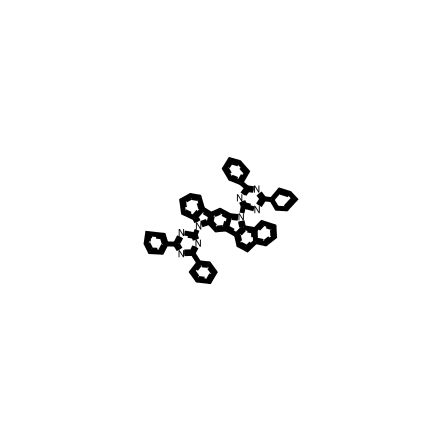 C1=CCC(c2nc(-c3ccccc3)nc(-n3c4cc5c6ccccc6n(-c6nc(-c7ccccc7)nc(-c7ccccc7)n6)c5cc4c4ccc5ccccc5c43)n2)C=C1